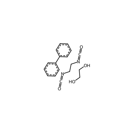 O=C=NCCN=C=O.OCCO.c1ccc(-c2ccccc2)cc1